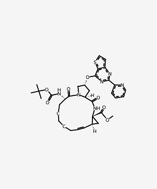 COC(=O)[C@@]12C[C@H]1/C=C\CCCCC[C@H](NC(=O)OC(C)(C)C)C(=O)N1C[C@H](Oc3nc(-c4ccccn4)nc4ccsc34)C[C@H]1C(=O)N2